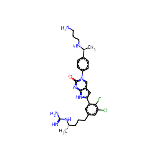 C[C@H](NCCCN)c1ccc(-n2cc3cc(-c4cc(CCC[C@H](C)NC(=N)N)cc(Cl)c4F)[nH]c3nc2=O)cc1